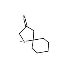 S=C1CNC2(CCCCC2)C1